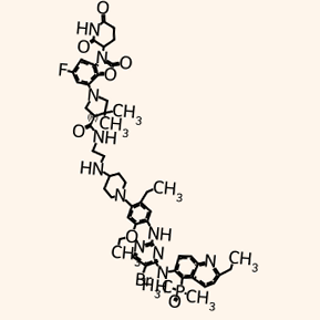 CCOc1cc(N2CCC(NCCNC(=O)[C@H]3CN(c4cc(F)cc5c4oc(=O)n5C4CCC(=O)NC4=O)CC3(C)C)CC2)c(CC)cc1Nc1ncc(Br)c(Nc2ccc3nc(CC)ccc3c2P(C)(C)=O)n1